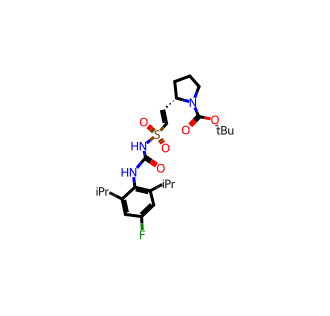 CC(C)c1cc(F)cc(C(C)C)c1NC(=O)NS(=O)(=O)/C=C/[C@@H]1CCCN1C(=O)OC(C)(C)C